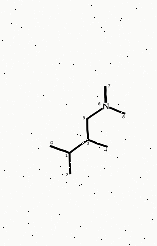 CC(C)C(C)CN(C)C